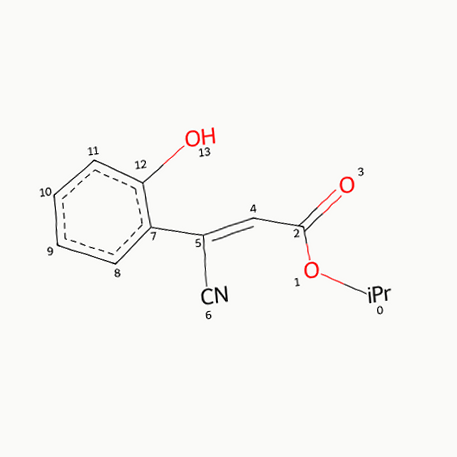 CC(C)OC(=O)C=C(C#N)c1ccccc1O